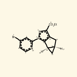 CCOC(=O)c1nn(-c2cc(Br)ccn2)c2c1C[C@H]1C[C@@H]21